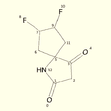 O=C1CC(=O)C2(CC(F)C(F)C2)N1